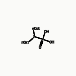 CCCCCCC[CH2][Zr]([CH2]CCCCCCC)[P](=O)(O)O